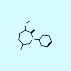 CNC1CCC(C)CN(C2CC=CCC2)C1=O